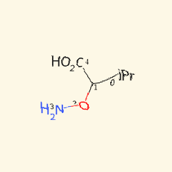 CC(C)C(ON)C(=O)O